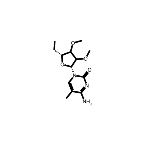 CC[C@H]1O[C@@H](n2cc(C)c(N)nc2=O)C(OC)C1OC